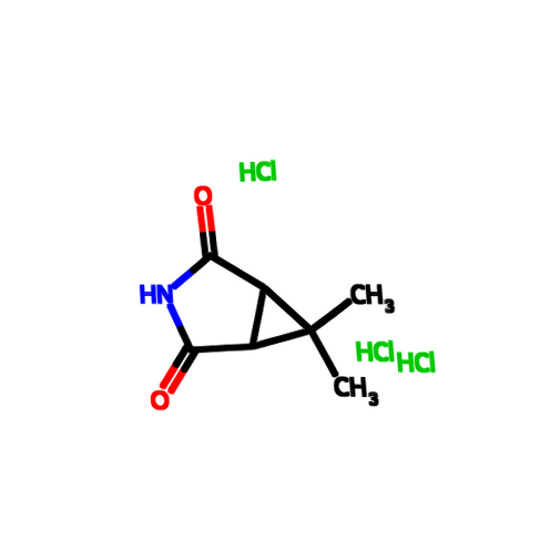 CC1(C)C2C(=O)NC(=O)C21.Cl.Cl.Cl